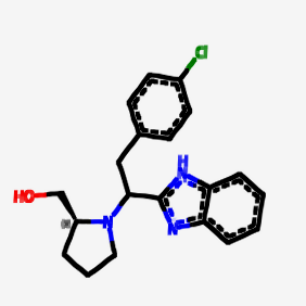 OC[C@@H]1CCCN1C(Cc1ccc(Cl)cc1)c1nc2ccccc2[nH]1